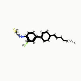 CCCCCC1CCC(c2ccc(N=C=S)c(F)c2)CC1